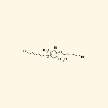 CCOC(=O)c1cc(OCCCCCCBr)c(C(=O)O)c(CC)c1OCCCCCCBr